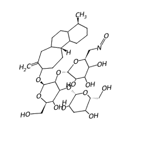 C=C1CC2CCC3C(CCC[C@@H]3C)[C@@H]2CCC1O[C@@H]1O[C@H](CO)C(O)C(O[C@@H]2O[C@H](CO)C(O)CC2O)C1O[C@@H]1O[C@@H](CN=O)C(O)C(O)C1O